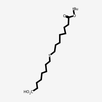 CC(C)(C)OC(=O)CCCCCCCSCCCCCCCC(=O)O